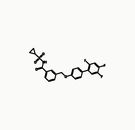 O=C(NS(=O)(=O)C1CC1)c1cccc(COc2ccc(-c3cc(F)c(F)cc3F)cc2)c1